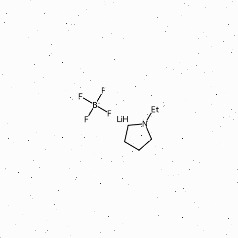 CCN1CCCC1.F[B-](F)(F)F.[LiH]